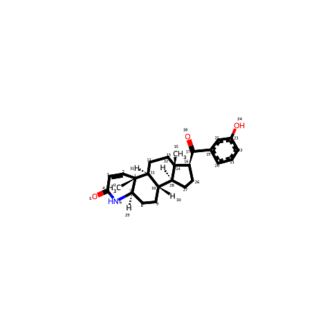 C[C@]12C=CC(=O)N[C@@H]1CC[C@@H]1[C@@H]2CC[C@]2(C)[C@@H](C(=O)c3cccc(O)c3)CC[C@@H]12